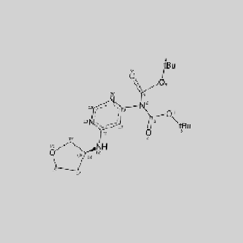 CC(C)(C)OC(=O)N(C(=O)OC(C)(C)C)c1cc(N[C@H]2CCOC2)ncn1